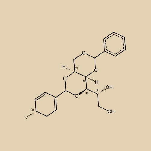 C[C@@H]1C=CC(C2O[C@H]([C@H](O)CO)[C@@H]3OC(c4ccccc4)OC[C@@H]3O2)=CC1